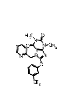 Cn1c(=O)c2c(nc(Oc3cccc(C(F)(F)F)c3)n2Cc2ccncn2)n(C)c1=O